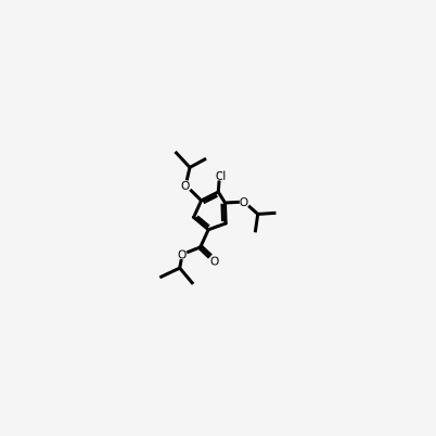 CC(C)OC(=O)c1cc(OC(C)C)c(Cl)c(OC(C)C)c1